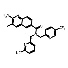 Cc1cc2cc(C(=O)N(Cc3ccc(C(F)(F)F)cn3)[C@@H](C)c3cccc(C#N)n3)ccc2nc1N